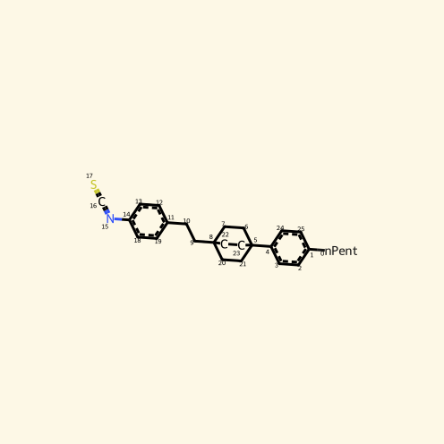 CCCCCc1ccc(C23CCC(CCc4ccc(N=C=S)cc4)(CC2)CC3)cc1